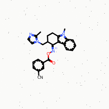 Cc1nccn1CC1CCc2c(c3ccccc3n2C)/C1=N/OC(=O)c1cccc(C#N)c1